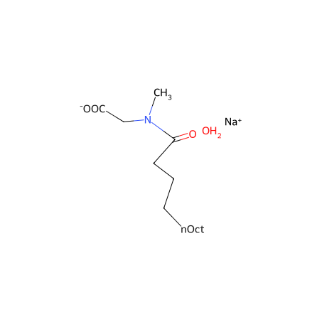 CCCCCCCCCCCC(=O)N(C)CC(=O)[O-].O.[Na+]